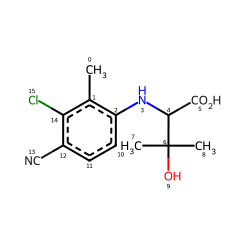 Cc1c(NC(C(=O)O)C(C)(C)O)ccc(C#N)c1Cl